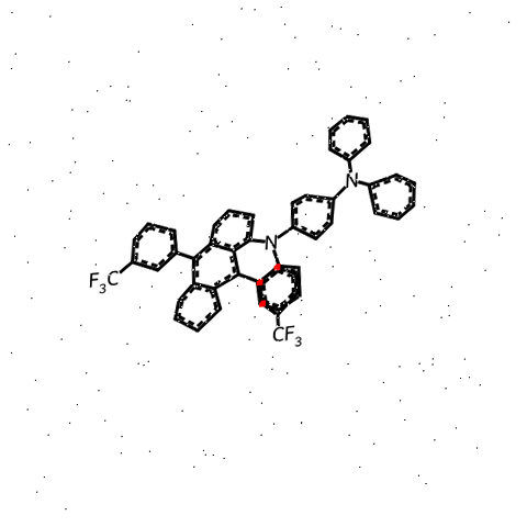 FC(F)(F)c1cccc(-c2c3ccccc3c(-c3cccc(C(F)(F)F)c3)c3c(N(c4ccccc4)c4ccc(N(c5ccccc5)c5ccccc5)cc4)cccc23)c1